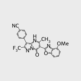 COc1cccc2oc(-c3c(C)[nH]c4c(-c5ccc(C#N)cc5)c(C(F)(F)F)nn4c3=O)nc12